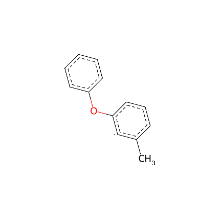 Cc1[c]c(Oc2ccccc2)ccc1